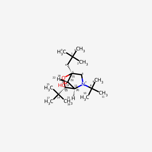 CC(C)(C)C[C@@]12CN(C(C)(C)C)[C@@H]([C@H](C(C)(C)C)O1)[C@@H]2O